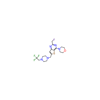 FC(F)(F)CN1CCN(Cc2cc3nc(CI)nc(N4CCOCC4)c3s2)CC1